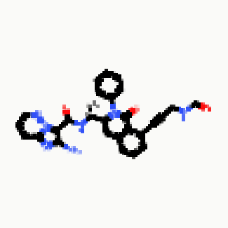 C[C@@H](NC(=O)c1c(N)nc2cccnn12)c1cc2cccc(C#CCNC=O)c2c(=O)n1-c1ccccc1